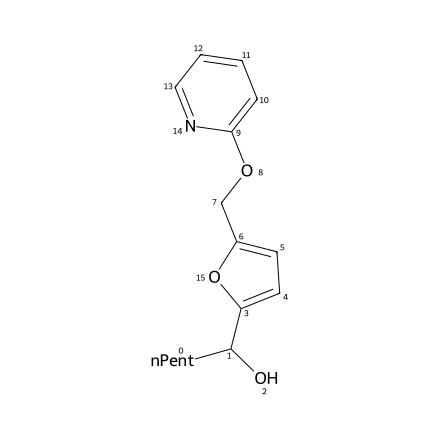 CCCCCC(O)c1ccc(COc2ccccn2)o1